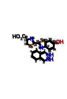 C1=c2ccccc2=CNN1.O=C(O)[C@H]1CSC(c2nc3ccc(O)cc3s2)=N1